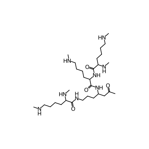 CNCCCCC(NC)C(=O)NCCCC(CC(C)=O)NC(=O)C(CCCCNC)NC(=O)C(CCCCNC)NC